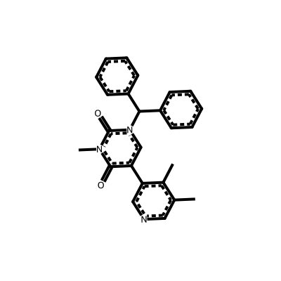 Cc1cncc(-c2cn(C(c3ccccc3)c3ccccc3)c(=O)n(C)c2=O)c1C